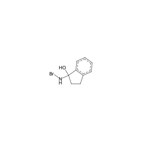 OC1(NBr)CCc2ccccc21